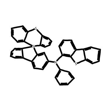 c1ccc(N(c2ccc3c(c2)[Si]2(c4ccccc4Sc4ccccc42)c2ccccc2-3)c2cccc3c2sc2ccccc23)cc1